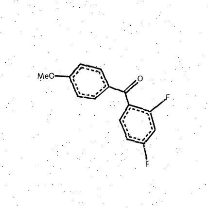 COc1ccc(C(=O)c2ccc(F)cc2F)cc1